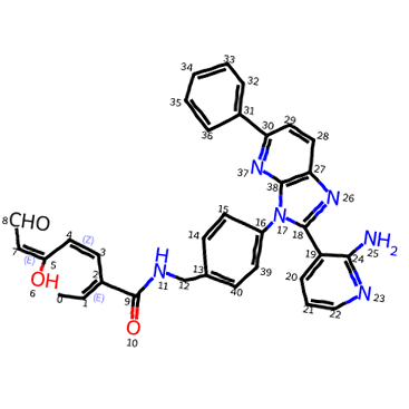 C\C=C(/C=C\C(O)=C/C=O)C(=O)NCc1ccc(-n2c(-c3cccnc3N)nc3ccc(-c4ccccc4)nc32)cc1